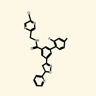 Cc1ccc(-c2cc(C(=O)NCc3cnc(Cl)cn3)cc(C3=NOC(c4ccccn4)C3)c2)c(F)c1